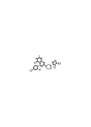 CCc1nnc([C@H]2CN(c3cc4nc(C)n(C)c(=O)c4c(-c4ccc(Cl)cc4F)n3)CCO2)[nH]1